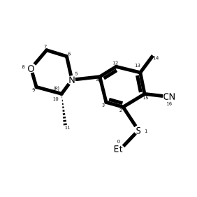 CCSc1cc(N2CCOC[C@H]2C)cc(C)c1C#N